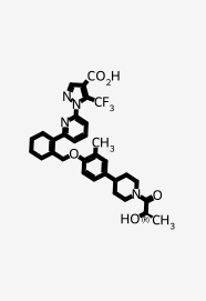 Cc1cc(C2CCN(C(=O)[C@@H](C)O)CC2)ccc1OCC1=C(c2cccc(-n3ncc(C(=O)O)c3C(F)(F)F)n2)CCCC1